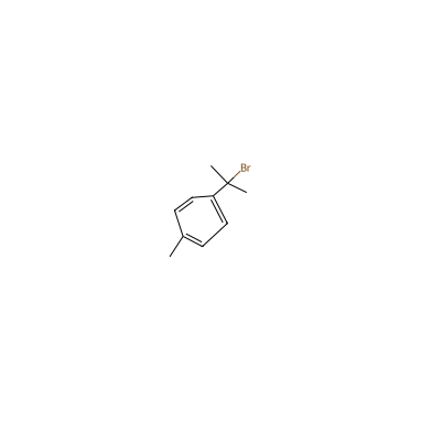 Cc1ccc(C(C)(C)Br)cc1